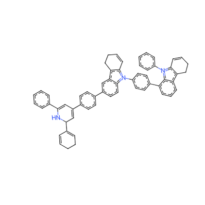 C1=CC(C2C=C(c3ccc(-c4ccc5c(c4)c4c(n5-c5ccc(-c6cccc7c8c(n(-c9ccccc9)c67)C=CCC8)cc5)C=CCC4)cc3)C=C(c3ccccc3)N2)=CCC1